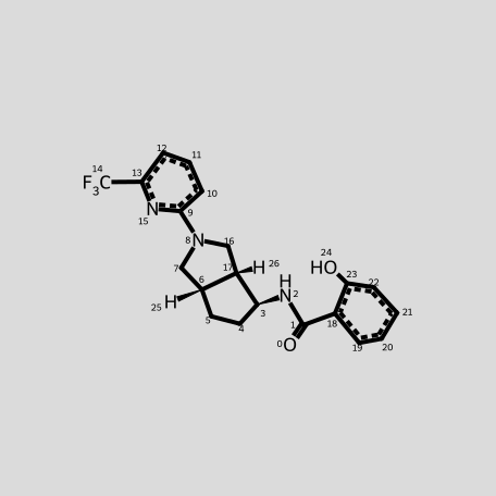 O=C(N[C@H]1CC[C@@H]2CN(c3cccc(C(F)(F)F)n3)C[C@@H]21)c1ccccc1O